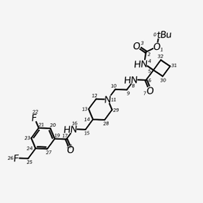 CC(C)(C)OC(=O)NC1(C(=O)NCCN2CCC(CNC(=O)c3cc(F)cc(CF)c3)CC2)CCC1